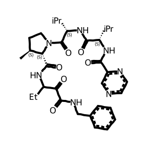 CCC(NC(=O)[C@@H]1[C@@H](C)CCN1C(=O)[C@@H](NC(=O)[C@@H](NC(=O)c1cnccn1)C(C)C)C(C)C)C(=O)C(=O)NCc1ccccc1